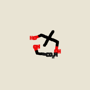 CC(C)(CO)CO.O=C(O)CO